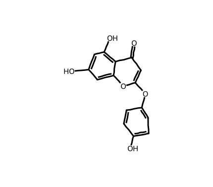 O=c1cc(Oc2ccc(O)cc2)oc2cc(O)cc(O)c12